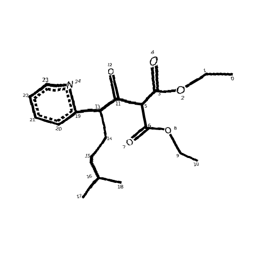 CCOC(=O)C(C(=O)OCC)C(=O)C(CCC(C)C)c1ccccn1